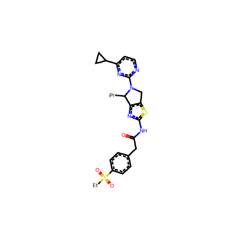 CCS(=O)(=O)c1ccc(CC(=O)Nc2nc3c(s2)CN(c2nccc(C4CC4)n2)C3C(C)C)cc1